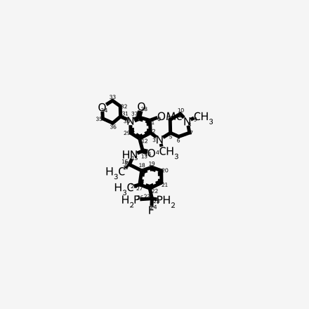 COc1c(N(C)C2CCN(C)CC2)c(C(=O)N[C@H](C)c2cccc(C(F)(P)P)c2C)cn(C2CCOCC2)c1=O